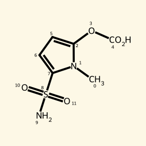 Cn1c(OC(=O)O)ccc1S(N)(=O)=O